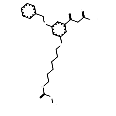 CC(C)(C)OC(=O)NCCCCCCOc1cc(OCc2ccccc2)cc(C(=O)CC(=O)C(=O)O)c1